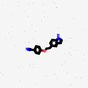 N#Cc1ccc(OCCc2ccc3[nH]ccc3c2)cc1